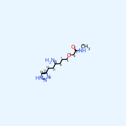 CNC(=O)COCCCC(N)CCc1c[nH]nn1